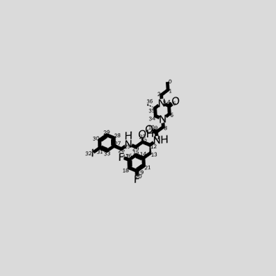 CCCN1C(=O)CN(CC(=O)N[C@@H](Cc2cc(F)cc(F)c2)[C@H](O)CNCc2cccc(I)c2)C[C@@H]1C